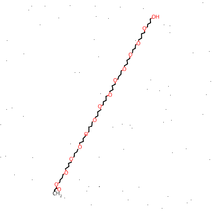 C=CC(=O)OCCCCOCCCCOCCCCOCCCCOCCCCOCCCCOCCCCOCCCCOCCCCOCCCCOCCCCOCCCCOCCCCO